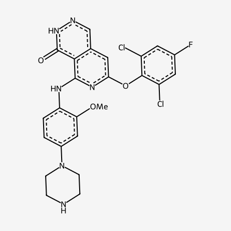 COc1cc(N2CCNCC2)ccc1Nc1nc(Oc2c(Cl)cc(F)cc2Cl)cc2cn[nH]c(=O)c12